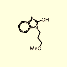 COCCCn1c(O)nc2ccccc21